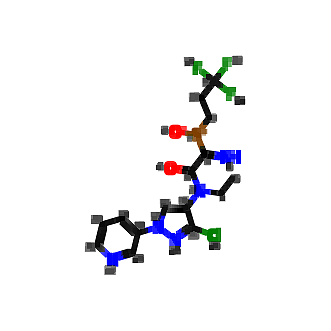 CCN(C(=O)C(=N)[S+]([O-])CCC(F)(F)F)c1cn(-c2cccnc2)nc1Cl